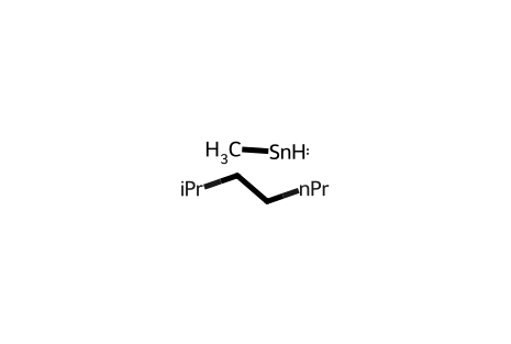 [CH2]CCCCC(C)C.[CH3][SnH]